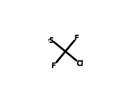 FC(F)([S])Cl